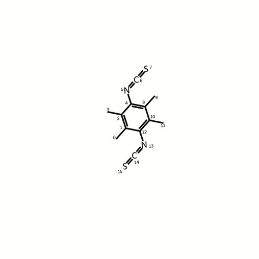 Cc1c(C)c(N=C=S)c(C)c(C)c1N=C=S